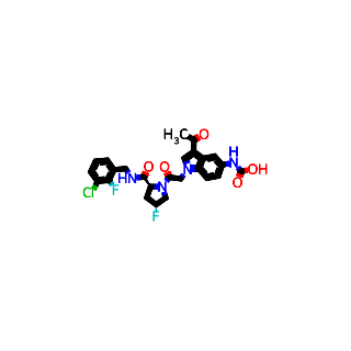 CC(=O)c1cn(CC(=O)N2C[C@H](F)C[C@H]2C(=O)NCc2cccc(Cl)c2F)c2ccc(NC(=O)O)cc12